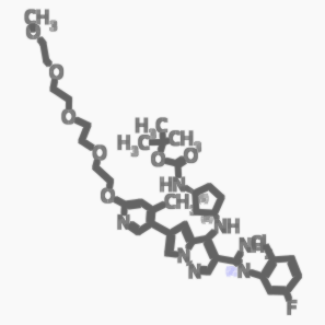 COCCOCCOCCOCCOc1cc(C)c(-c2cc3c(N[C@@H]4CC[C@H](NC(=O)OC(C)(C)C)C4)c(/C(N)=N/c4cc(F)ccc4Cl)cnn3c2)cn1